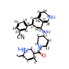 CC1=CC(C)NCC1C(=O)N1CCC(Nc2cc(-c3cccc(C#N)c3)cc3c2=CNCC=3)CC1